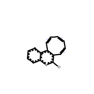 Clc1nc2ccccc2c2c1\C=C/C=C\C=C/2